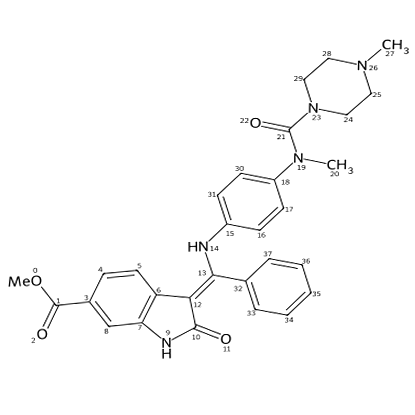 COC(=O)c1ccc2c(c1)NC(=O)C2=C(Nc1ccc(N(C)C(=O)N2CCN(C)CC2)cc1)c1ccccc1